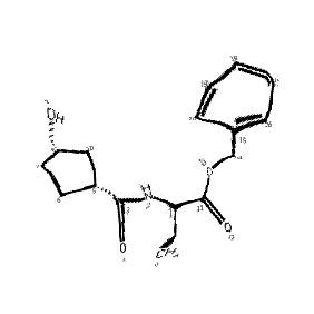 C[C@@H](NC(=O)[C@@H]1CC[C@H](O)C1)C(=O)OCc1ccccc1